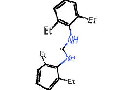 CCc1cccc(CC)c1N[C]Nc1c(CC)cccc1CC